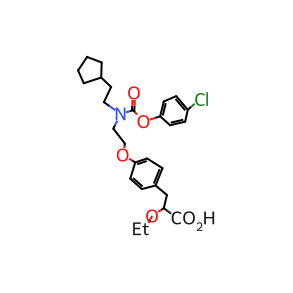 CCOC(Cc1ccc(OCCN(CCC2CCCC2)C(=O)Oc2ccc(Cl)cc2)cc1)C(=O)O